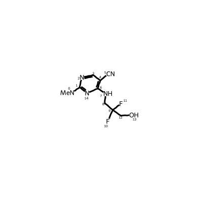 CNc1ncc(C#N)c(NCC(F)(F)CO)n1